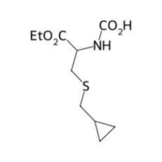 CCOC(=O)C(CSCC1CC1)NC(=O)O